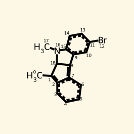 CC1=c2ccccc2=C2c3cc(Br)ccc3N(C)C12